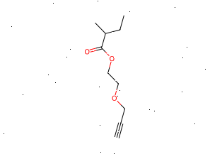 C#CCOCCOC(=O)C(C)CC